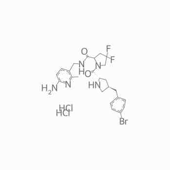 Cc1nc(N)ccc1CNC(=O)C1CC(F)(F)CN1C(=O)[C@@H]1C[C@@H](Cc2ccc(Br)cc2)CN1.Cl.Cl